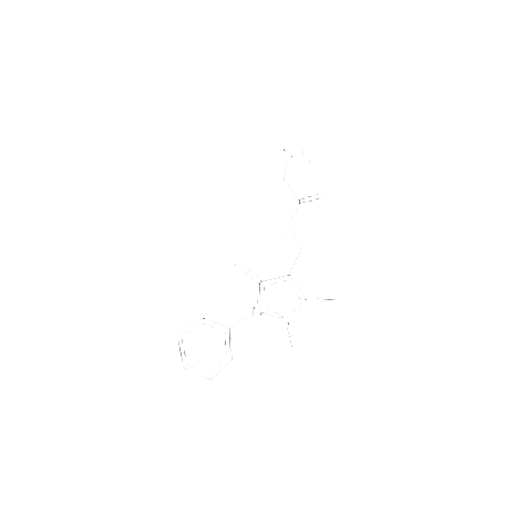 Cc1c(COC(=O)CN)c(=O)n(-c2ccccc2)n1C